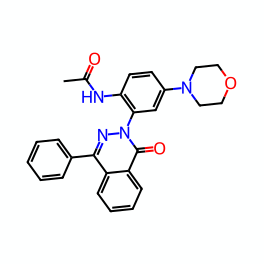 CC(=O)Nc1ccc(N2CCOCC2)cc1-n1nc(-c2ccccc2)c2ccccc2c1=O